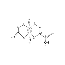 O=C1CC[C@H]2CCN(C(=O)O)C[C@H]2C1